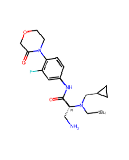 CC(C)(C)CN(CC1CC1)[C@H](CN)C(=O)Nc1ccc(N2CCOCC2=O)c(F)c1